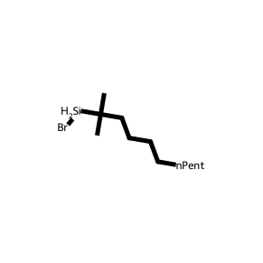 CCCCCCCCCC(C)(C)[SiH2]Br